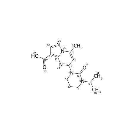 Cc1cc(N2CCCN(C(C)C)C2=O)nc2c(C(=O)O)cnn12